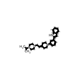 CC(C)N1CCN(CC=C2CCN(c3cccc(-c4cc5ccccc5[nH]4)c3)CC2)CC1